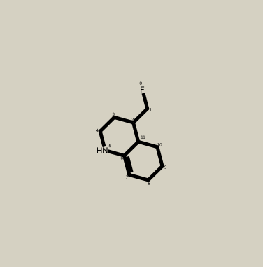 FCC1CCNC2=CCCCC21